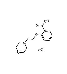 Cl.O=C(O)c1ccccc1SCCN1CCOCC1